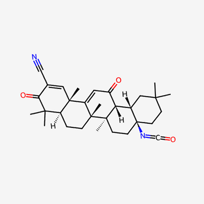 CC1(C)CC[C@]2(N=C=O)CC[C@]3(C)[C@H](C(=O)C=C4[C@@]5(C)C=C(C#N)C(=O)C(C)(C)[C@@H]5CC[C@]43C)[C@@H]2C1